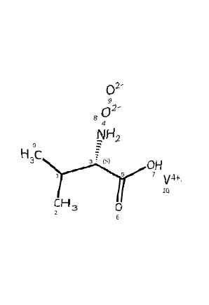 CC(C)[C@H](N)C(=O)O.[O-2].[O-2].[V+4]